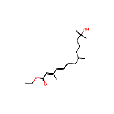 CCOC(=O)/C=C(C)/C=C/CCC(C)CCCC(C)(C)O